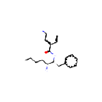 C=C/C(=C\CN)C(=O)N[C@@H](Cc1ccccc1)[C@@H](N)CCCC